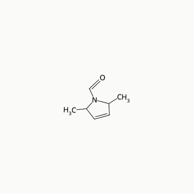 CC1C=CC(C)N1C=O